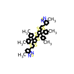 Cc1ccc(C2(c3ccc(C)cc3)c3c(sc4cc(-c5ccc(C)c6nsnc56)sc34)-c3sc4c5c(sc4c32)-c2sc3cc(-c4ccc(C)c6nsnc46)sc3c2C5(c2ccc(C)cc2)c2ccc(C)cc2)cc1